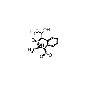 CC(O)C(c1ccccc1C(C(C)O)=S(=O)=O)=S(=O)=O